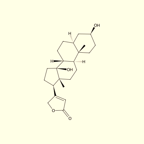 C[C@]12CC[C@H](O)C[C@@H]1CC[C@@H]1[C@@H]2CC[C@]2(C)[C@@H](C3=CC(=O)OC3)CC[C@]12O